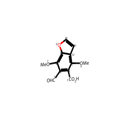 COc1c(C(=O)O)c(C=O)c(OC)c2occc12